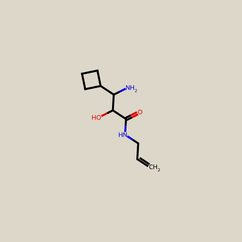 C=CCNC(=O)C(O)C(N)C1CCC1